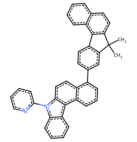 CC1(C)c2cc(-c3cccc4c3ccc3c4c4ccccc4n3-c3ccccn3)ccc2-c2c1ccc1ccccc21